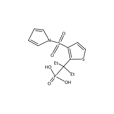 CCC(CC)(c1sccc1S(=O)(=O)n1cccc1)P(=O)(O)O